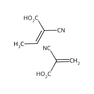 C=C(C#N)C(=O)O.CC=C(C#N)C(=O)O